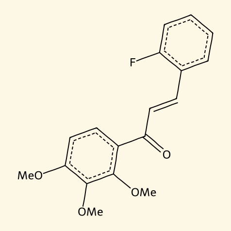 COc1ccc(C(=O)/C=C/c2ccccc2F)c(OC)c1OC